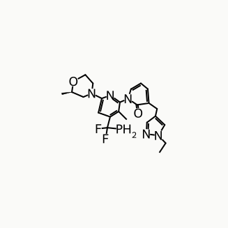 CCn1cc(Cc2cccn(-c3nc(N4CCO[C@H](C)C4)cc(C(F)(F)P)c3C)c2=O)cn1